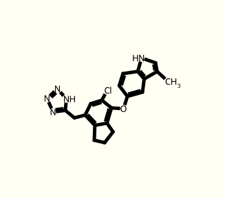 Cc1c[nH]c2ccc(Oc3c(Cl)cc(Cc4nnn[nH]4)c4c3CCC4)cc12